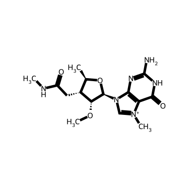 CNC(=O)C[C@H]1[C@@H](OC)[C@H](n2c[n+](C)c3c(=O)[nH]c(N)nc32)O[C@@H]1C